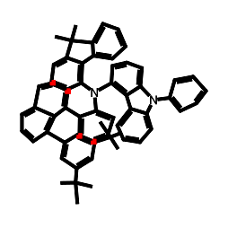 CC(C)(C)c1cc(-c2cccc3cccc(-c4ccccc4N(c4cccc5c4-c4ccccc4C5(C)C)c4cccc5c4c4ccccc4n5-c4ccccc4)c23)cc(C(C)(C)C)c1